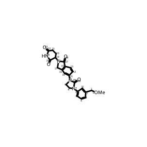 COCc1cccc(N2CCN(c3ccc4c(c3)CN(C3CCC(=O)NC3=O)C4=O)C2=O)c1